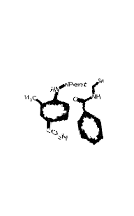 CCCCCNc1ccc(C(=O)O)cc1C.O=C(NCS)c1ccccc1